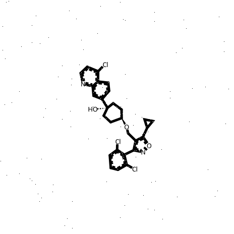 O[C@]1(c2ccc3c(Cl)ccnc3c2)CC[C@@H](OCc2c(-c3c(Cl)cccc3Cl)noc2C2CC2)CC1